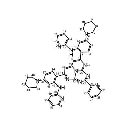 C1=C(c2ccc(N3CCCCC3)cc2Nc2ccccn2)N=C2N=C(c3ccccn3)N=C3N=C(c4ccc(N5CCCCC5)cc4Nc4ccccn4)C=C1N23